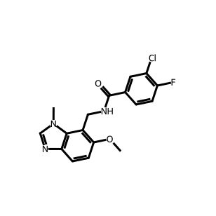 COc1ccc2ncn(C)c2c1CNC(=O)c1ccc(F)c(Cl)c1